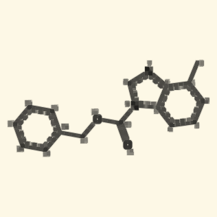 Cc1cccc2c1ncn2C(=O)OCc1ccccc1